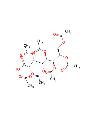 CC(=O)OC[C@@H](OC(C)=O)[C@@H](OC(C)=O)[C@H](OC(C)=O)[C@H](OC(C)=O)[C@@H](OC(C)=O)[C@H](OC(C)=O)C(=O)O